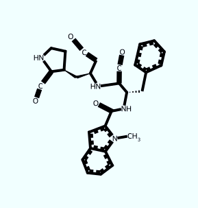 Cn1c(C(=O)N[C@@H](Cc2ccccc2)C(=C=O)N[C@H](C=C=O)C[C@@H]2CCNC2=C=O)cc2ccccc21